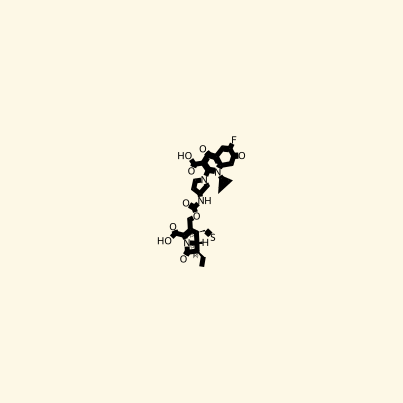 CC[C@H]1C(=O)N2C(C(=O)O)=C(COC(=O)NC3CCN(c4c(C(=O)O)c(=O)c5c(n4C4CC4)CC(=O)C(F)=C5)C3)[C@H](C=S)[C@H]12